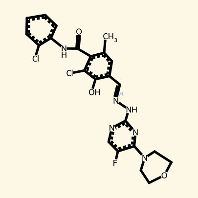 Cc1cc(/C=N/Nc2ncc(F)c(N3CCOCC3)n2)c(O)c(Cl)c1C(=O)Nc1ccccc1Cl